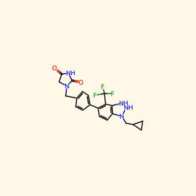 O=C1CN(Cc2ccc(-c3ccc4c(c3C(F)(F)F)NNN4CC3CC3)cc2)C(=O)N1